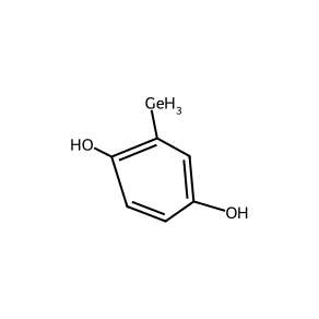 Oc1ccc(O)[c]([GeH3])c1